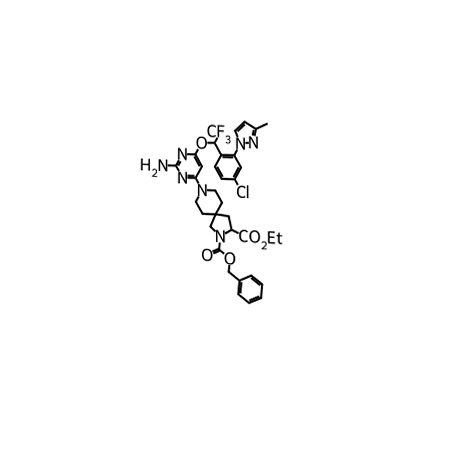 CCOC(=O)C1CC2(CCN(c3cc(OC(c4ccc(Cl)cc4-n4ccc(C)n4)C(F)(F)F)nc(N)n3)CC2)CN1C(=O)OCc1ccccc1